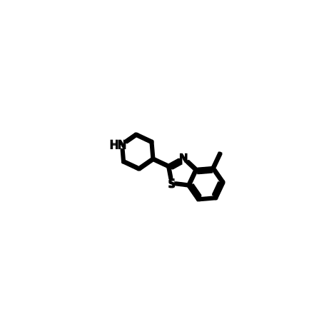 Cc1cccc2sc(C3CCNCC3)nc12